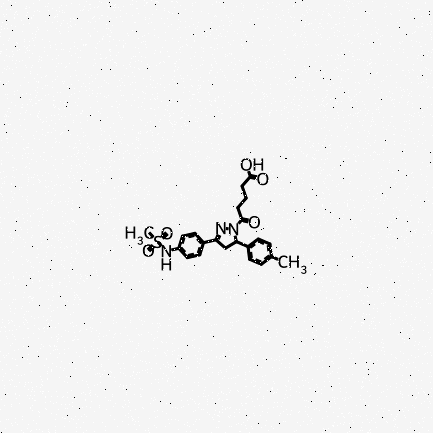 Cc1ccc(C2CC(c3ccc(NS(C)(=O)=O)cc3)=NN2C(=O)CCCC(=O)O)cc1